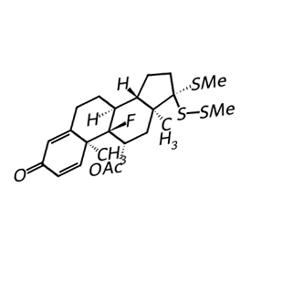 CSS[C@]1(SC)CC[C@H]2[C@@H]3CCC4=CC(=O)C=C[C@]4(C)[C@@]3(F)[C@@H](OC(C)=O)C[C@@]21C